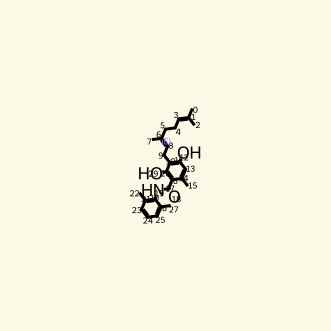 CC(C)=CCC/C(C)=C/Cc1c(O)cc(C)c(C(=O)Nc2c(C)cccc2C)c1O